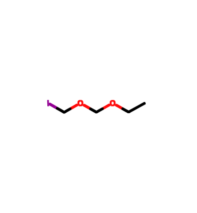 CCOCOCI